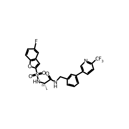 C[C@H](NS(=O)(=O)c1cc2cc(F)ccc2o1)C(=O)NCc1cccc(-c2ccc(C(F)(F)F)nc2)c1